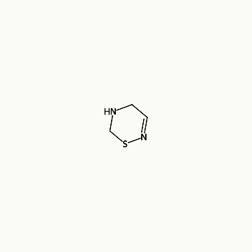 C1=NSCNC1